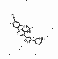 CC(C)Nc1c(-c2cc(C3CCCNC3)no2)cnc2c1[nH]c1cc(C#N)ccc12